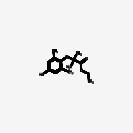 CCOC(=O)C(C)(C)Oc1c(C)cc(O)cc1C